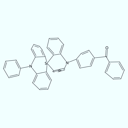 O=C(c1ccccc1)c1ccc(N2c3ccccc3[Si]3(c4ccccc4N(c4ccccc4)c4ccccc43)c3ccccc32)cc1